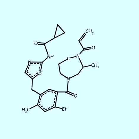 C=CC(=O)N1CCCN(C(=O)c2cc(Sc3cnc(NC(=O)C4CC4)s3)c(C)cc2CC)CC1C